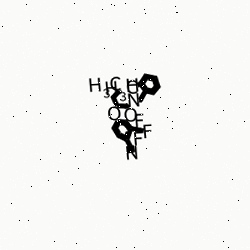 CCCC(Oc1ccc(C#N)c(C(F)(F)F)c1)C(=O)NCc1ccccc1C